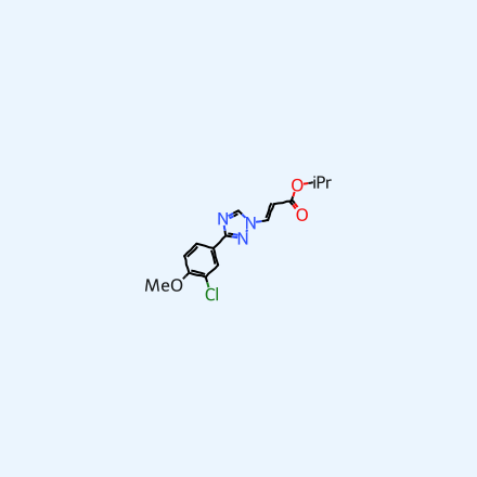 COc1ccc(-c2ncn(/C=C/C(=O)OC(C)C)n2)cc1Cl